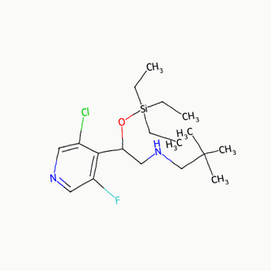 CC[Si](CC)(CC)OC(CNCC(C)(C)C)c1c(F)cncc1Cl